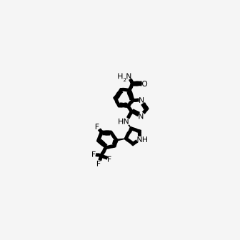 NC(=O)c1cccc2c(N[C@@H]3CNC[C@H]3c3cc(F)cc(C(F)(F)F)c3)ncnc12